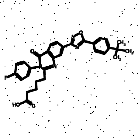 CC(C)(C)c1ccc(-c2nc(-c3ccc4c(=O)n(-c5ccc(F)cc5)c(CCCCC(=O)O)nc4c3)no2)cc1